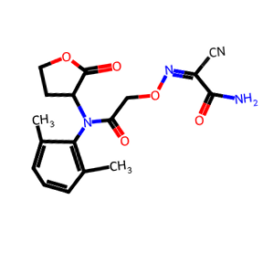 Cc1cccc(C)c1N(C(=O)CON=C(C#N)C(N)=O)C1CCOC1=O